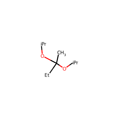 [CH2]CC(C)(OC(C)C)OC(C)C